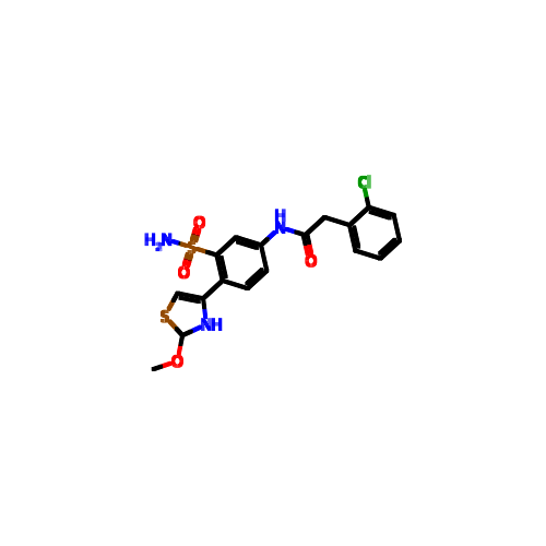 COC1NC(c2ccc(NC(=O)Cc3ccccc3Cl)cc2S(N)(=O)=O)=CS1